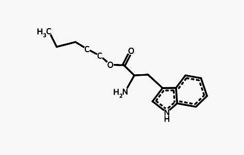 CCCCCOC(=O)C(N)Cc1c[nH]c2ccccc12